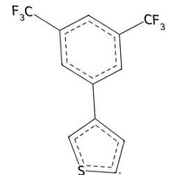 FC(F)(F)c1cc(-c2c[c]sc2)cc(C(F)(F)F)c1